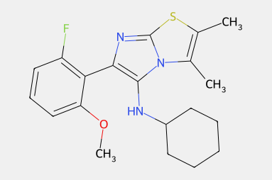 COc1cccc(F)c1-c1nc2sc(C)c(C)n2c1NC1CCCCC1